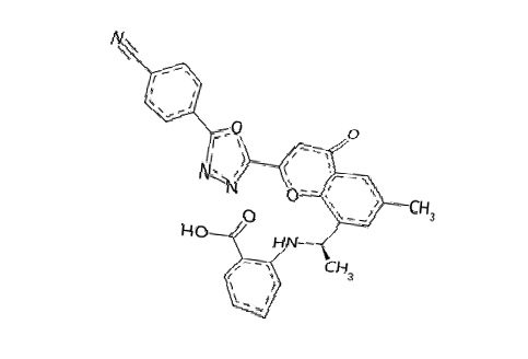 Cc1cc([C@@H](C)Nc2ccccc2C(=O)O)c2oc(-c3nnc(-c4ccc(C#N)cc4)o3)cc(=O)c2c1